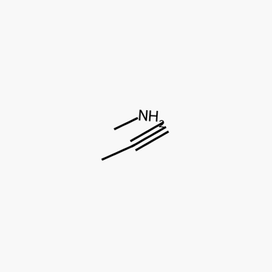 C#CC.CN